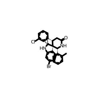 Cc1ccccc1[C@H]1NC(=O)C[C@@H](c2cccc(Cl)c2)[C@]12C(=O)Nc1cc(Br)ccc12